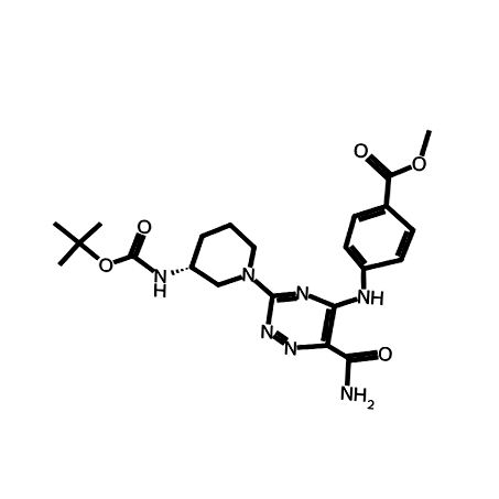 COC(=O)c1ccc(Nc2nc(N3CCC[C@@H](NC(=O)OC(C)(C)C)C3)nnc2C(N)=O)cc1